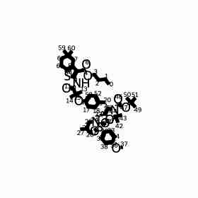 CCCCOC(=O)c1c(NC(=O)C(C)(C)Oc2ccc(C[C@H]3[C@@H](CN(CC(C)C)S(=O)(=O)c4ccc(OC)cc4)OC(C)(C)N3C(=O)OC(C)(C)C)cc2)sc2c1CC(C)(C)CC2